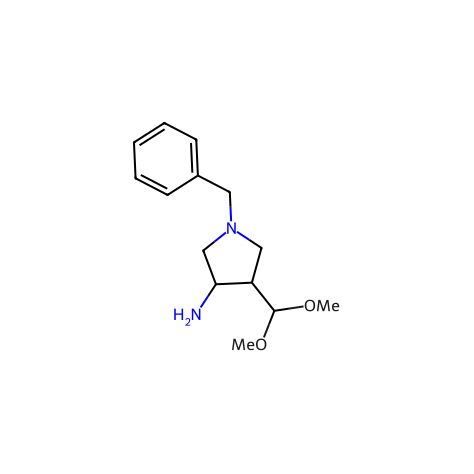 COC(OC)C1CN(Cc2ccccc2)CC1N